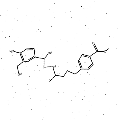 COC(=O)c1ccc(CCCC(C)NCC(O)c2ccc(O)c(CO)c2)cc1